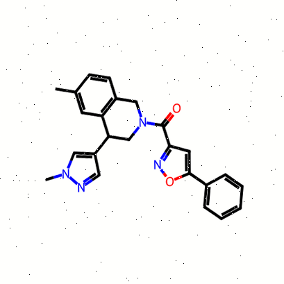 Cc1ccc2c(c1)C(c1cnn(C)c1)CN(C(=O)c1cc(-c3ccccc3)on1)C2